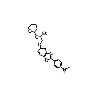 CC[C@@H](COc1ccc2oc(-c3ccc(N(C)C)cc3)nc2c1)OC1CCCCO1